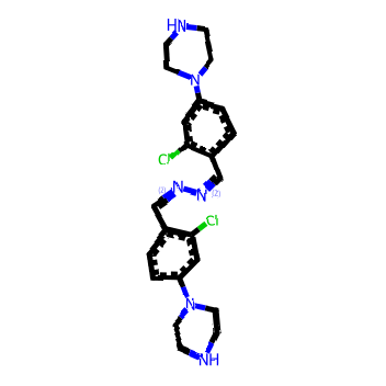 Clc1cc(N2CCNCC2)ccc1/C=N\N=C/c1ccc(N2CCNCC2)cc1Cl